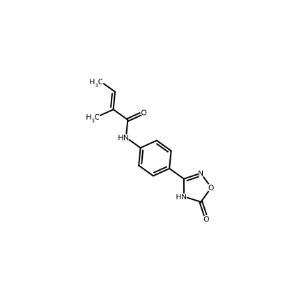 C/C=C(\C)C(=O)Nc1ccc(-c2noc(=O)[nH]2)cc1